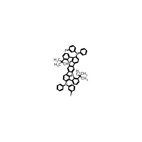 CC(C)(C)c1cccc2c3c(N(c4ccccc4)c4cccc(F)c4)ccc4c5cc6c(cc5n(c12)c43)c1ccc(N(c2ccccc2)c2cccc(F)c2)c2c3cccc(C(C)(C)C)c3n6c12